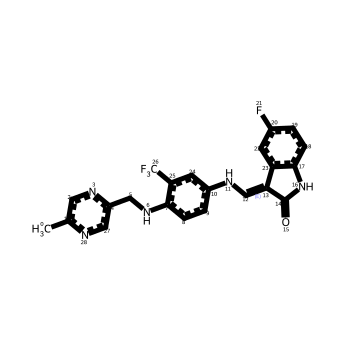 Cc1cnc(CNc2ccc(N/C=C3/C(=O)Nc4ccc(F)cc43)cc2C(F)(F)F)cn1